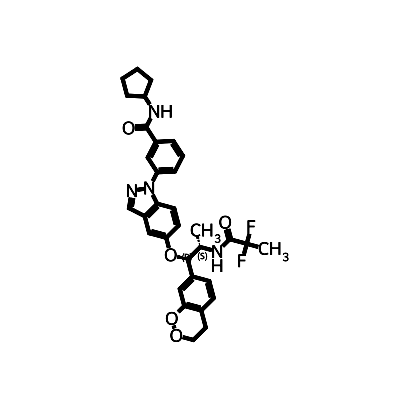 C[C@H](NC(=O)C(C)(F)F)[C@H](Oc1ccc2c(cnn2-c2cccc(C(=O)NC3CCCC3)c2)c1)c1ccc2c(c1)OOCC2